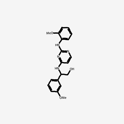 COc1cccc(C(CO)Nc2ccnc(Nc3ccccc3OC)n2)c1